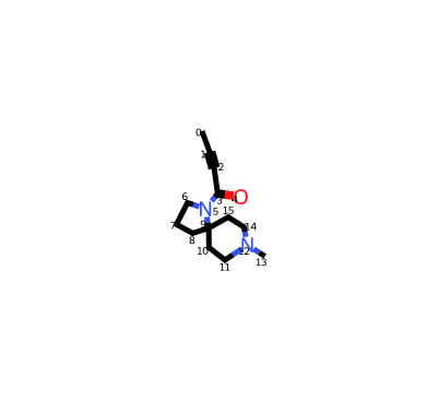 CC#CC(=O)N1CCCC12CCN(C)CC2